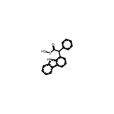 O=C(SS)C(c1ccccc1)c1cccc2c1[nH]c1ccccc12